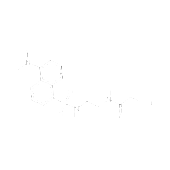 CN(C)c1cccc2c(S(=O)(=O)NCCNC(=O)CC(C)(C)C)cccc12